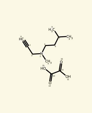 C#CCN(C)CCC(C)C.O=C(O)C(=O)O